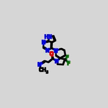 C/N=C\CC(=O)N1CCC(F)(F)C12CCCN(c1ncnc3[nH]ccc13)C2